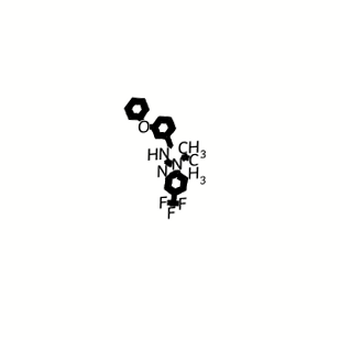 CC(C)n1c(NCc2cccc(Oc3ccccc3)c2)nc2cc(C(F)(F)F)ccc21